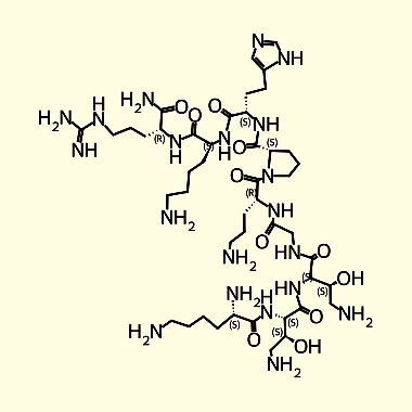 N=C(N)NCCC[C@@H](NC(=O)[C@H](CCCCN)NC(=O)[C@H](CCc1cnc[nH]1)NC(=O)[C@@H]1CCCN1C(=O)[C@@H](CCCN)NC(=O)CNC(=O)[C@@H](NC(=O)[C@@H](NC(=O)[C@@H](N)CCCCN)[C@@H](O)CN)[C@@H](O)CN)C(N)=O